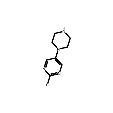 Clc1ncc(N2CCNCC2)cn1